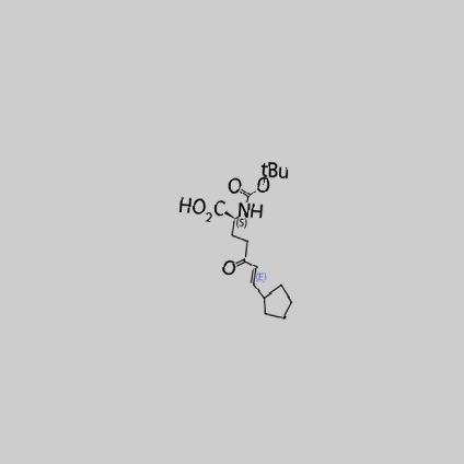 CC(C)(C)OC(=O)N[C@@H](CCC(=O)/C=C/C1CCCC1)C(=O)O